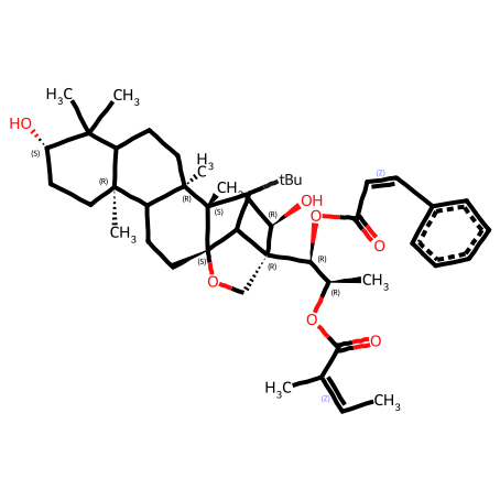 C/C=C(/C)C(=O)O[C@H](C)[C@H](OC(=O)/C=C\c1ccccc1)[C@]12CO[C@@]3(CCC4[C@@]5(C)CC[C@H](O)C(C)(C)C5CC[C@@]4(C)[C@]3(C)C[C@H]1O)C2CC(C)(C)C